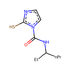 CCCC(CC)NC(=O)n1ccnc1S